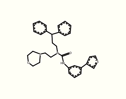 O=C(Nc1cccc(-c2ccsc2)c1)N(CCC(c1ccccc1)c1ccccc1)CCN1CCOCC1